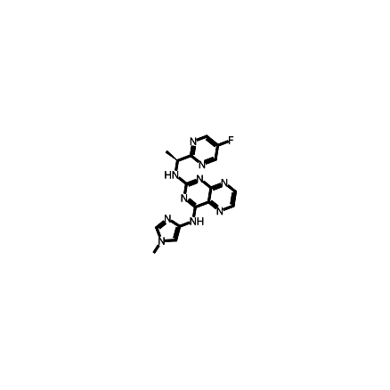 C[C@H](Nc1nc(Nc2cn(C)cn2)c2nccnc2n1)c1ncc(F)cn1